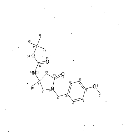 COc1ccc(CN2CC(C)(NC(=O)OC(C)(C)C)CC2=O)cc1